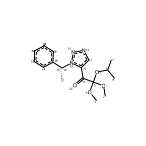 COC(OC)(OC(C)C)C(=O)c1cnnn1[C@H](C)c1ccccc1